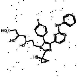 O=C(O)CC(O)CC(O)CCn1c(C2(O)CC2)nc(-c2ccnc(Nc3ccccc3)n2)c1-c1ccc(F)cc1